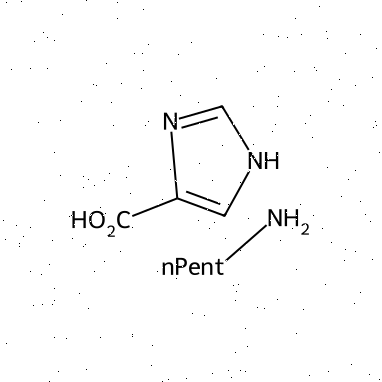 CCCCCN.O=C(O)c1c[nH]cn1